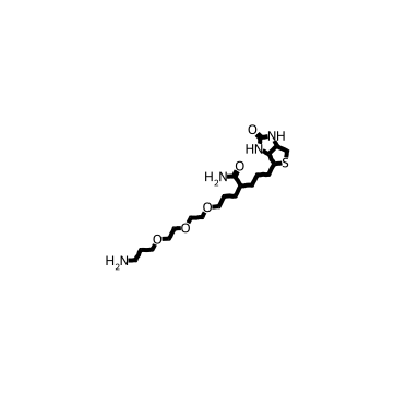 NCCCOCCOCCOCCCC(CCCC1SCC2NC(=O)NC21)C(N)=O